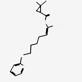 CC1(C)CC1C(=O)N/C(=C\CCCCSc1ccccn1)C(=O)O